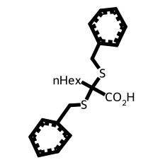 CCCCCCC(SCc1ccccc1)(SCc1ccccc1)C(=O)O